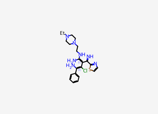 CCN1CCN(CCN/C(N)=C(C(=N)c2nccs2)/C(Cl)=C(\N)c2ccccc2)CC1